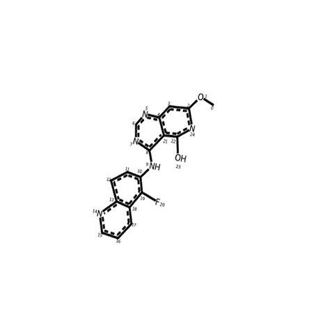 COc1cc2ncnc(Nc3ccc4ncccc4c3F)c2c(O)n1